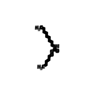 CCCCCCCCCNC(=O)OOCCCCC